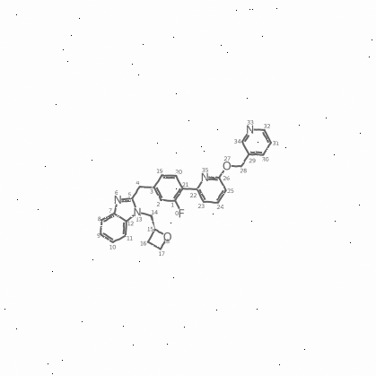 Fc1cc(Cc2nc3ccccc3n2C[C@@H]2CCO2)ccc1-c1cccc(OCc2cccnc2)n1